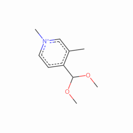 COC(OC)c1cc[n+](C)cc1C